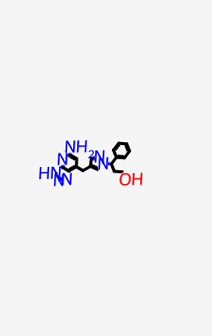 Nc1cc(Cc2cnn(C(CCO)c3ccccc3)c2)c2nn[nH]c2n1